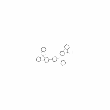 CC1(C)c2ccccc2-c2ccc(N(c3ccccc3)c3ccc(-c4ccc5c(c4)C4(Cc6ccccc6C4)c4ccccc4-5)cc3)cc21